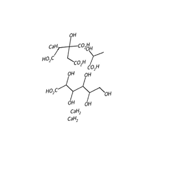 CC(O)C(=O)O.O=C(O)C(O)C(O)C(O)C(O)CO.O=C(O)CC(O)(CC(=O)O)C(=O)O.[CaH2].[CaH2].[CaH2]